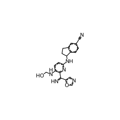 N#Cc1ccc2c(c1)CCC2Nc1ccc(NCO)c(C(=N)c2cnco2)n1